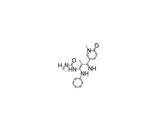 C/C(C(=N)c1ccc(=O)n(C)c1)=C(\NC(N)=O)Nc1ccccc1